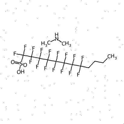 CCCCC(F)(F)C(F)(F)C(F)(F)C(F)(F)C(F)(F)C(F)(F)C(F)(F)C(F)(F)S(=O)(=O)O.CNC